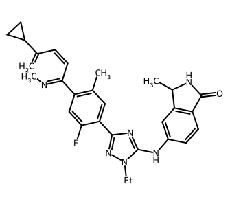 C=C(/C=C\C(=N/C)c1cc(F)c(-c2nc(Nc3ccc4c(c3)C(C)NC4=O)n(CC)n2)cc1C)C1CC1